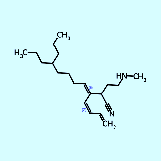 C=C/C=C\C(=C/CCCC(CCC)CCC)C(C#N)CCNC